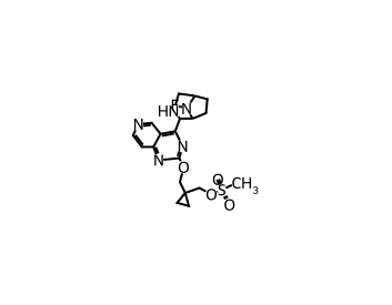 CS(=O)(=O)OCC1(COc2nc(C3NCC4CCC3N4F)c3cnccc3n2)CC1